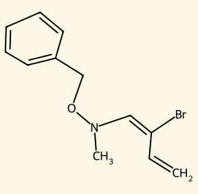 C=C/C(Br)=C\N(C)OCc1ccccc1